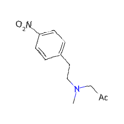 [CH2]C(=O)CN(C)CCc1ccc([N+](=O)[O-])cc1